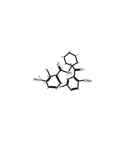 COc1ccc(F)cc1C(=O)C1(NC(=O)c2cccc(OC)c2C)CCCCC1